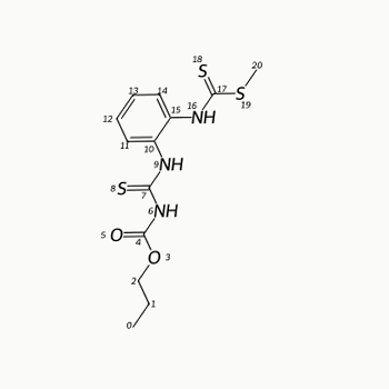 CCCOC(=O)NC(=S)Nc1ccccc1NC(=S)SC